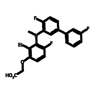 CCc1c(OCC(=O)O)ccc(F)c1N(C)c1cc(-c2cccc(F)c2)ccc1F